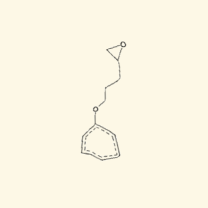 c1ccc(OCCCC2CO2)cc1